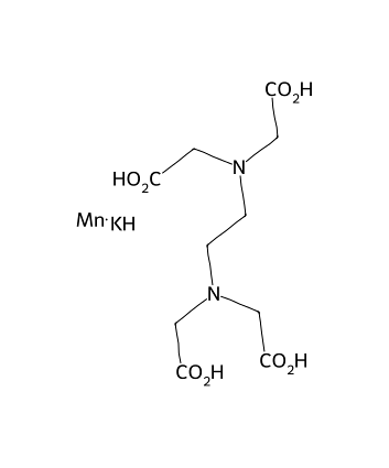 O=C(O)CN(CCN(CC(=O)O)CC(=O)O)CC(=O)O.[KH].[Mn]